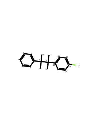 CC(C)(c1ccccc1)C(C)(C)c1ccc(F)cc1